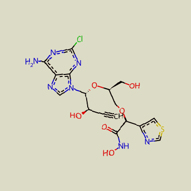 C#C[C@@H](O)[C@@H](O[C@@H](CO)COC(C(=O)NO)c1cscn1)n1cnc2c(N)nc(Cl)nc21